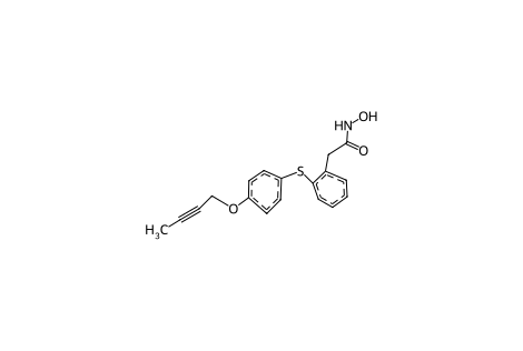 CC#CCOc1ccc(Sc2ccccc2CC(=O)NO)cc1